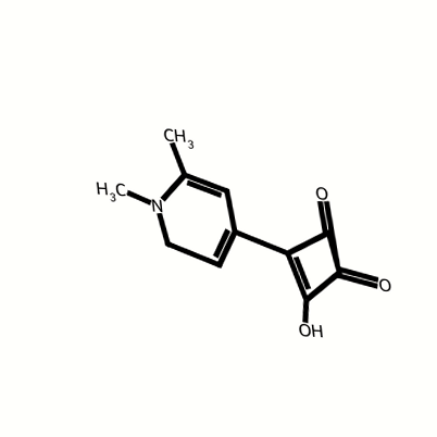 CC1=CC(c2c(O)c(=O)c2=O)=CCN1C